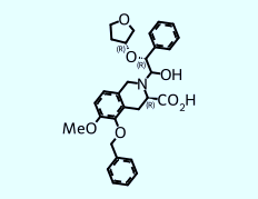 COc1ccc2c(c1OCc1ccccc1)C[C@H](C(=O)O)N(C(O)[C@H](O[C@@H]1CCOC1)c1ccccc1)C2